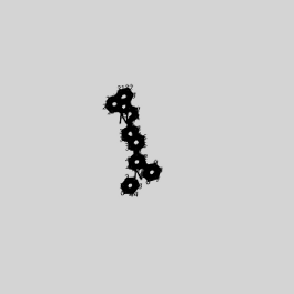 c1ccc(-n2c3ccccc3c3cc(-c4ccc5cc(-c6ccc7c(n6)-c6cccc8cccc-7c68)ccc5c4)ccc32)cc1